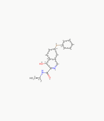 C[C@H](NC(=O)c1ncc2cc(Sc3ccccc3)ccc2c1O)C(=O)O